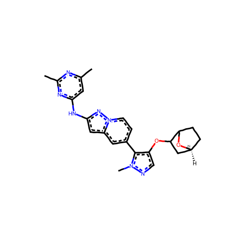 Cc1cc(Nc2cc3cc(-c4c(OC5C[C@@H]6CCC5O6)cnn4C)ccn3n2)nc(C)n1